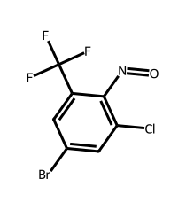 O=Nc1c(Cl)cc(Br)cc1C(F)(F)F